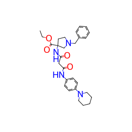 CCOC(=O)C1(NC(=O)CC(=O)Nc2ccc(N3CCCCC3)cc2)CCN(Cc2ccccc2)C1